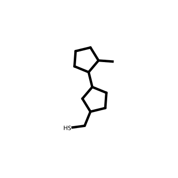 CC1CCCC1C1CCC(CS)C1